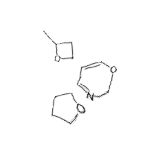 C1=COCN=C1.C1CCOC1.CC1CCO1